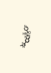 Cc1ncc(-c2ccc3cnc(NC(=O)C4CCN(C)CC4)nc3c2)s1